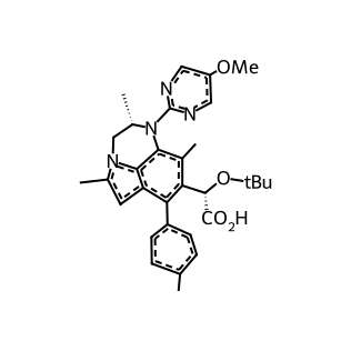 COc1cnc(N2c3c(C)c([C@H](OC(C)(C)C)C(=O)O)c(-c4ccc(C)cc4)c4cc(C)n(c34)C[C@@H]2C)nc1